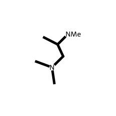 CNC(C)CN(C)C